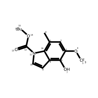 Cc1cc(OC(F)(F)F)c(O)c2ccn(C(=O)OC(C)(C)C)c12